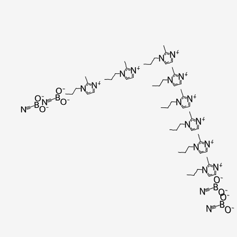 CCCn1cc[n+](C)c1C.CCCn1cc[n+](C)c1C.CCCn1cc[n+](C)c1C.CCCn1cc[n+](C)c1C.CCCn1cc[n+](C)c1C.CCCn1cc[n+](C)c1C.CCCn1cc[n+](C)c1C.CCCn1cc[n+](C)c1C.N#CB([O-])[O-].N#CB([O-])[O-].N#CB([O-])[O-].N#CB([O-])[O-]